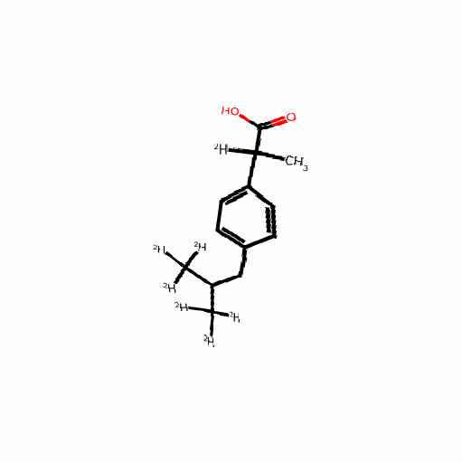 [2H]C(C)(C(=O)O)c1ccc(CC(C([2H])([2H])[2H])C([2H])([2H])[2H])cc1